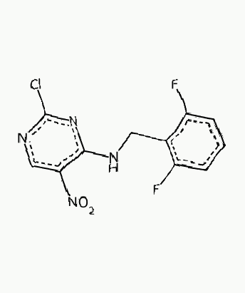 O=[N+]([O-])c1cnc(Cl)nc1NCc1c(F)cccc1F